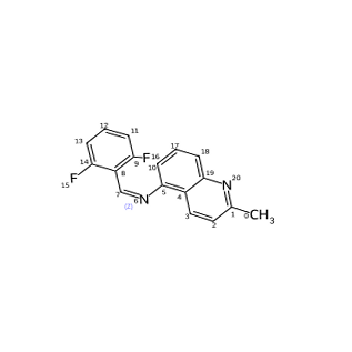 Cc1ccc2c(/N=C\c3c(F)cccc3F)cccc2n1